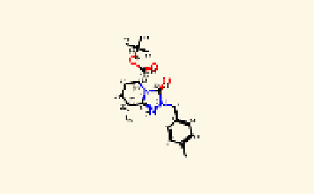 Cc1ccc(Cn2nc3n(c2=O)[C@@H](C(=O)OC(C)(C)C)CC[C@H]3C)cc1